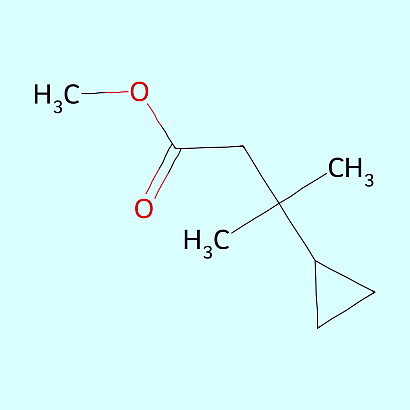 COC(=O)CC(C)(C)C1CC1